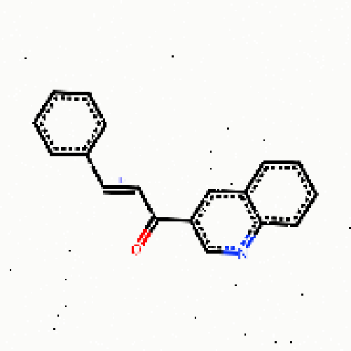 O=C(/C=C/c1ccccc1)c1cnc2ccccc2c1